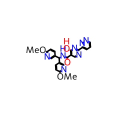 COc1ccc(C(NC(=O)c2cnc(-c3cccnn3)nc2O)c2ccc(OC)nc2)cn1